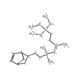 CO[Si](CC[SiH](C)O[Si](C)(C)CCC1CC2C=CC1C2)(OC)OC